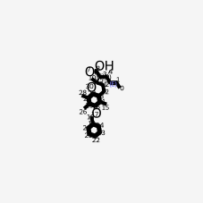 C/C=C/[C@@H](C)[C@H](C(=O)O)C1(C)CCc2c(C)c(OCc3ccccc3)c(C)c(C)c2O1